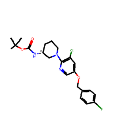 CC(C)(C)OC(=O)N[C@@H]1CCCN(c2ncc(OCc3ccc(F)cc3)cc2Cl)C1